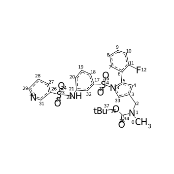 CN(Cc1cc(-c2ccccc2F)n(S(=O)(=O)c2cccc(NS(=O)(=O)c3cccnc3)c2)c1)C(=O)OC(C)(C)C